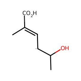 CC(=C[CH]C(C)O)C(=O)O